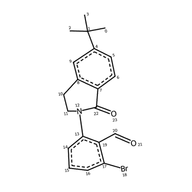 CC(C)(C)c1ccc2c(c1)CCN(c1cccc(Br)c1C=O)C2=O